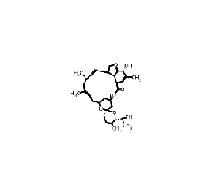 CC1=CC2C(=O)O[C@H]3CC(C/C=C(\C)C[C@@H](C)/C=C/C=C4\CO[C@@H](C42)[C@@H]1O)O[C@@]1(CC[C@H](C)[C@@H](C(C)C)O1)C3